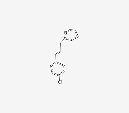 Clc1ccc(C=CCc2ccccn2)cc1